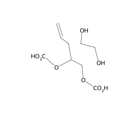 C=CCC(COC(=O)O)OC(=O)O.OCCO